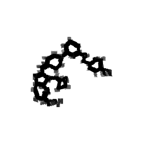 N#Cc1ccc(COc2cccc(N3CCC(=Cc4nc5ccc(C(=O)O)nc5n4CC4CCO4)CC3)n2)nc1